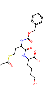 CC(=O)SCCC(NC(=O)OCc1ccccc1)C(=O)NC(CCCCO)C(=O)O